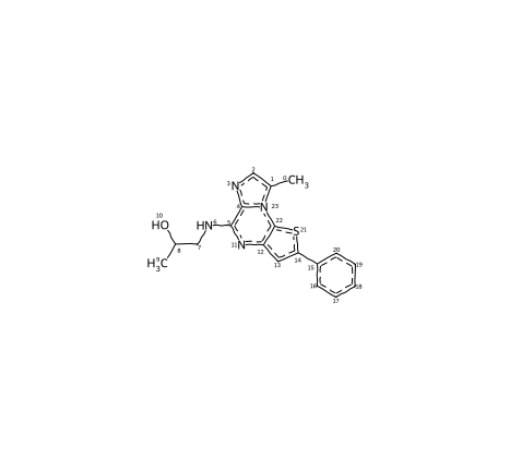 Cc1cnc2c(NCC(C)O)nc3cc(-c4ccccc4)sc3n12